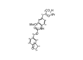 COc1cc(CC(OC(C)C)C(=O)O)ccc1NC(=O)OCc1ccc2c(c1)CCO2